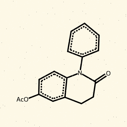 CC(=O)Oc1ccc2c(c1)CCC(=O)N2c1ccccc1